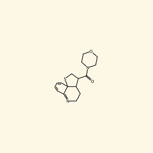 O=C(C1CSC23C=CC=CC2=NCCC13)N1CCOCC1